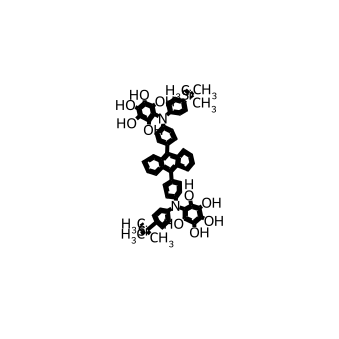 C[Si](C)(C)c1ccc(N(c2ccc(-c3c4ccccc4c(-c4ccc(N(c5ccc([Si](C)(C)C)cc5)c5c(O)c(O)c(O)c(O)c5O)cc4)c4ccccc34)cc2)c2c(O)c(O)c(O)c(O)c2O)cc1